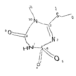 CSC1=NS(=O)(=O)NC(=O)N1C